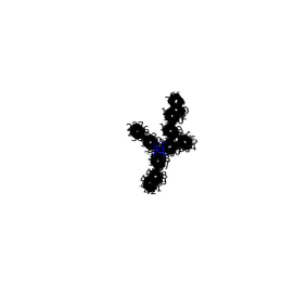 CC1(C)c2ccccc2-c2ccc(-c3ccc(-c4cc(N(c5ccc(-c6ccccc6)cc5)c5ccc(-c6ccc7ccccc7c6)cc5)ccc4-c4ccccc4)cc3)cc21